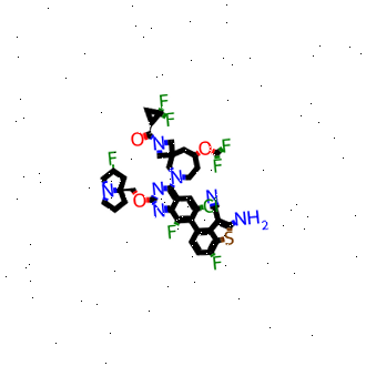 N#Cc1c(N)sc2c(F)ccc(-c3c(Cl)cc4c(N5CCC(OC(F)F)CC6(CN(C(=O)[C@@H]7CC7(F)F)C6)C5)nc(OC[C@@]56CCCN5C[C@H](F)C6)nc4c3F)c12